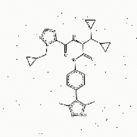 Cc1n[nH]c(C)c1-c1ccc(NC(=O)[C@@H](NC(=O)c2ccnn2CC2CC2)C(C2CC2)C2CC2)cc1